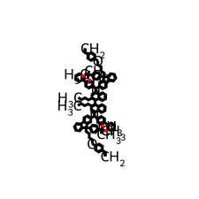 C=Cc1ccc(OCCCCC2(c3ccc(C(C)(C)C)cc3)c3ccccc3-c3ccc(N(c4ccc(-c5ccccc5)cc4)c4cc(CCCC)c(-c5c(CCCC)cc(N(c6ccc(-c7ccccc7)cc6)c6ccc7c(c6)C(CCCCOc6ccc(C=C)cc6)(c6ccc(C(C)(C)C)cc6)c6ccccc6-7)c6ccccc56)c5ccccc45)cc32)cc1